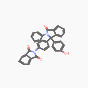 O=C1c2ccccc2C(=O)N1c1ccc(C2(c3ccc(O)cc3)c3ccccc3C(=O)N2c2ccccc2)cc1